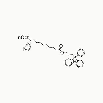 CCCCCCCCC(CCCCCCCCC(=O)OCCC[PH](c1ccccc1)(c1ccccc1)c1ccccc1)n1ccnc1